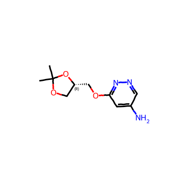 CC1(C)OC[C@@H](COc2cc(N)cnn2)O1